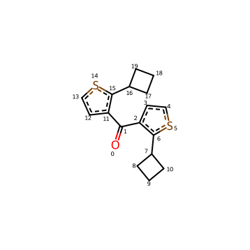 O=C(c1ccsc1C1CCC1)c1ccsc1C1CCC1